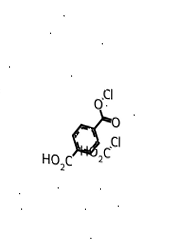 O=C(O)Cl.O=C(O)c1ccc(C(=O)OCl)cc1